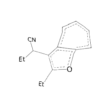 CCc1oc2ccccc2c1C(C#N)CC